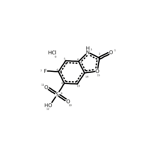 Cl.O=c1[nH]c2cc(F)c(S(=O)(=O)O)cc2o1